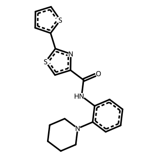 O=C(Nc1ccccc1N1CCCCC1)c1csc(-c2cccs2)n1